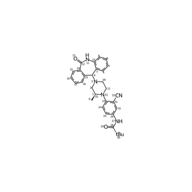 C[C@H]1CN(C2c3ccccc3NC(=O)c3ccccc32)CCN1c1ccc(NC(=O)C(C)(C)C)cc1C#N